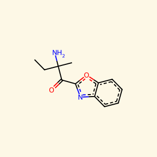 CCC(C)(N)C(=O)c1nc2ccccc2o1